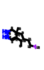 CCC1=CNNC[C@]1(C)CCCCI